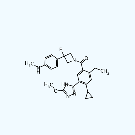 CCc1cc(C2CC2)c(-c2nnc(OC)[nH]2)cc1C(=O)N1CC(F)(c2ccc(NC)cc2)C1